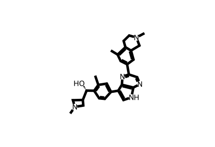 Cc1cc(-c2c[nH]c3ncc(-c4cc(C)c5c(c4)CN(C)CC5)nc23)ccc1[C@@H](O)C1CN(C)C1